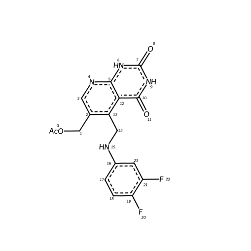 CC(=O)OCc1cnc2[nH]c(=O)[nH]c(=O)c2c1CNc1ccc(F)c(F)c1